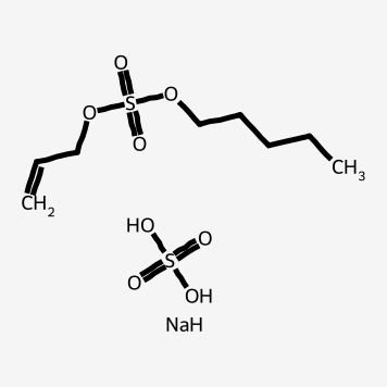 C=CCOS(=O)(=O)OCCCCC.O=S(=O)(O)O.[NaH]